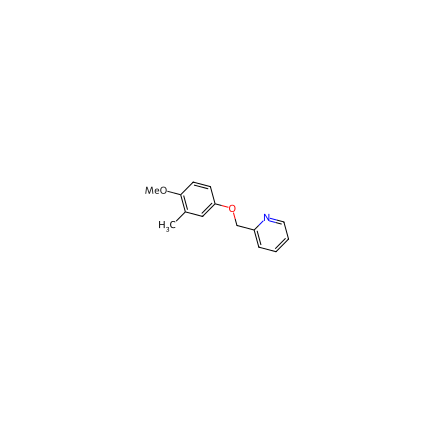 COc1ccc(OCc2ccccn2)cc1C